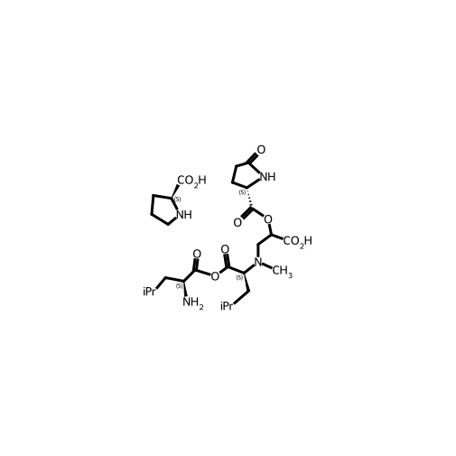 CC(C)C[C@H](N)C(=O)OC(=O)[C@H](CC(C)C)N(C)CC(OC(=O)[C@@H]1CCC(=O)N1)C(=O)O.O=C(O)[C@@H]1CCCN1